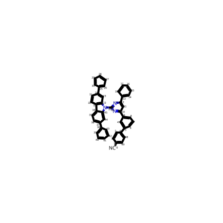 N#Cc1ccc(-c2cccc(-c3cc(-c4ccccc4)nc(-n4c5cc(-c6ccccc6)ccc5c5ccc(-c6ccccc6)cc54)n3)c2)cc1